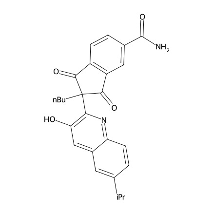 CCCCC1(c2nc3ccc(C(C)C)cc3cc2O)C(=O)c2ccc(C(N)=O)cc2C1=O